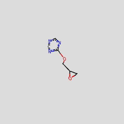 c1ncnc(OCC2CO2)n1